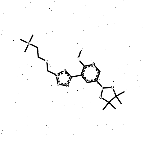 COc1ncc(B2OC(C)(C)C(C)(C)O2)cc1-c1nnn(COCC[Si](C)(C)C)n1